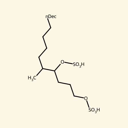 CCCCCCCCCCCCCCC(C)C(CCCOS(=O)(=O)O)OS(=O)(=O)O